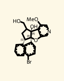 COc1cncc2c1[C@]1(O)C(CO)C[C@@H](c3ccccc3)[C@]1(c1ccc(Br)cc1)O2